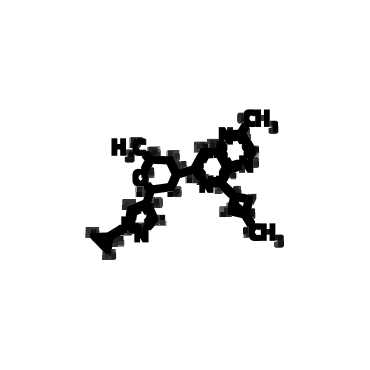 Cc1cnc2c(C34CC(C)(C3)C4)nc(C3CC(C)OC(c4cnn(C5CC5)c4)C3)cc2n1